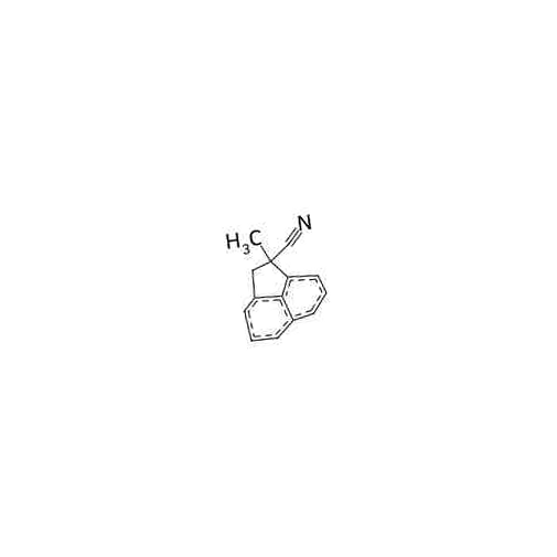 CC1(C#N)Cc2cccc3cccc1c23